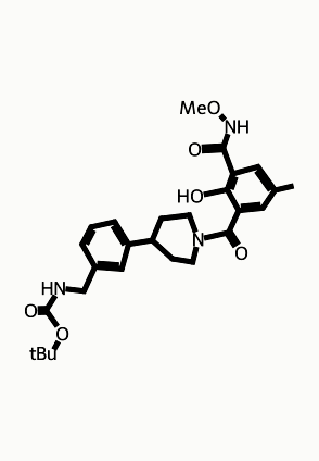 CONC(=O)c1cc(C)cc(C(=O)N2CCC(c3cccc(CNC(=O)OC(C)(C)C)c3)CC2)c1O